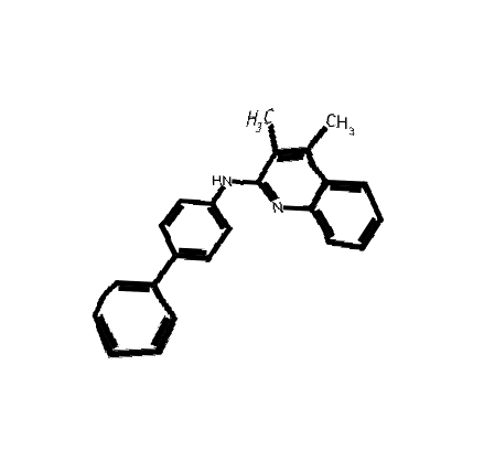 Cc1c(Nc2ccc(-c3ccccc3)cc2)nc2ccccc2c1C